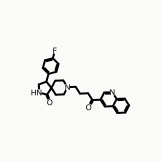 O=C(CCCN1CCC2(CC1)C(=O)NCC2c1ccc(F)cc1)c1cnc2ccccc2c1